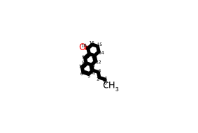 CCCCc1cccc2cc3c(cc12)CCCC3=O